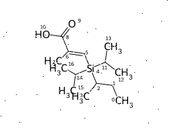 CCC(C)[Si](C=C(C)C(=O)O)(C(C)C)C(C)C